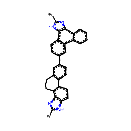 CC(C)c1nc2c3c(ccc2[nH]1)-c1ccc(-c2ccc4c(c2)c2ccccc2c2nc(C(C)C)[nH]c42)cc1CC3